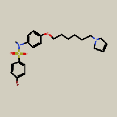 CN(c1ccc(OCCCCCCN2CC=CC2)cc1)S(=O)(=O)c1ccc(Br)cc1